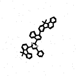 CC1(C)c2ccccc2-c2c(-c3cc(-c4ccccc4)nc(-c4ccc(-c5ccc6c(c5)-c5ccc7ccccc7c5C6(C)C)c5ccccc45)n3)cccc21